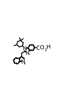 CC1CC(n2c(Cc3cn(C)c4ccccc34)nc3cc(C(=O)O)ccc32)CC(C)(C)C1